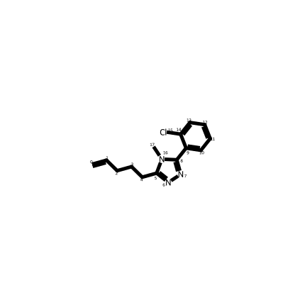 C=CCCCc1nnc(-c2ccccc2Cl)n1C